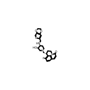 O=c1ccc2ccc(F)c3c2n1CC[C@H]3CN1CC[C@H](NCc2cc3c(cn2)OCCO3)[C@H](O)C1